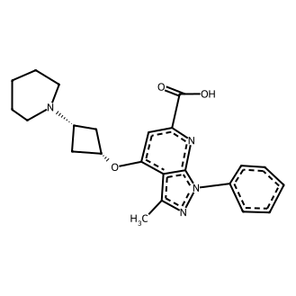 Cc1nn(-c2ccccc2)c2nc(C(=O)O)cc(O[C@H]3C[C@@H](N4CCCCC4)C3)c12